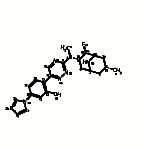 C[C@@H]1CC2C[C@H](N(C)c3ncc(-c4ccc(-n5ccnc5)cc4O)nn3)[C@@H](F)C(C1)N2